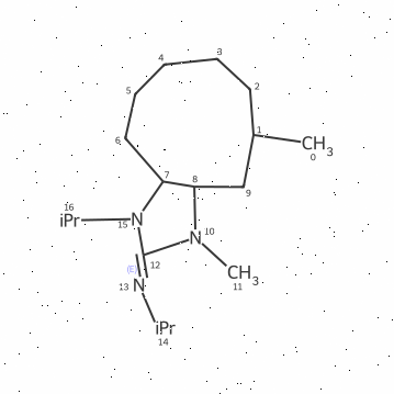 CC1CCCCCC2C(C1)N(C)/C(=N\C(C)C)N2C(C)C